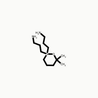 CC1(C)CCC[Si](CCCN)(CCCN)O1